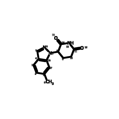 Cc1ccc2cnn(C3CCC(=O)NC3=O)c2c1